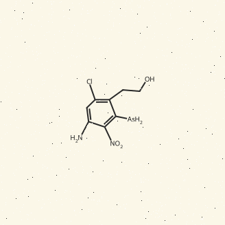 Nc1cc(Cl)c(CCO)c([AsH2])c1[N+](=O)[O-]